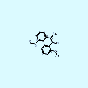 [CH2]CC(c1ccccc1OCC)C(CCC)c1cccc(OCC)c1